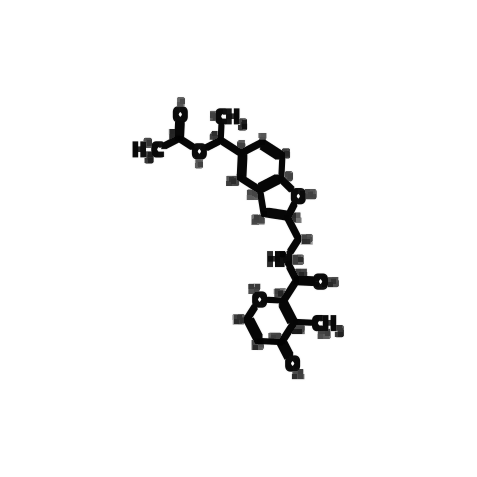 CC(=O)OC(C)c1ccc2oc(CNC(=O)c3occc(=O)c3C)cc2c1